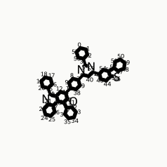 c1ccc(-c2nc(-c3ccc(-c4cc5c(-c6ccccc6)nc6ccccc6c5c5c4oc4ccccc45)cc3)cc(-c3ccc4sc5ccccc5c4c3)n2)cc1